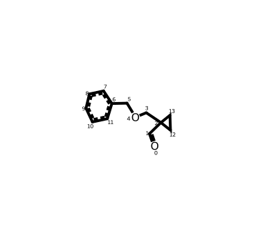 O=CC1(COCc2ccccc2)CC1